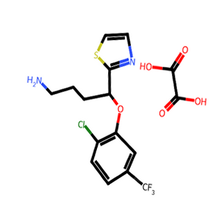 NCCCC(Oc1cc(C(F)(F)F)ccc1Cl)c1nccs1.O=C(O)C(=O)O